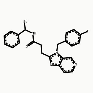 CCC(NC(=O)CCc1nc2ccncc2n1Cc1ccc(F)cc1)c1ccccc1